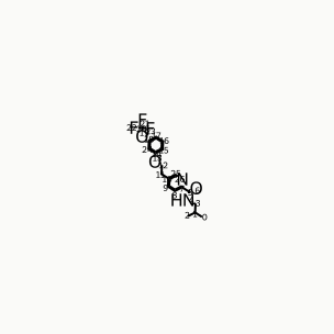 CC(C)CNC(=O)c1ccc(CCOc2cccc(OC(F)(F)F)c2)cn1